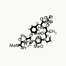 CC[C@H](C)[C@@H]([C@@H](CC(=O)N1CCC[C@H]1[C@H](OC)[C@@H](C)C(=O)N[C@@H](Cc1ccccc1)C(=O)NS(=O)(=O)CC)OC)N(C)C(=O)[C@@H](NC(=O)C(NC)C(C)C)C(C)C